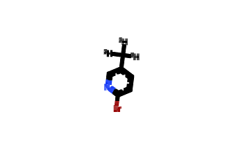 [2H]C([2H])([2H])c1ccc(Br)nc1